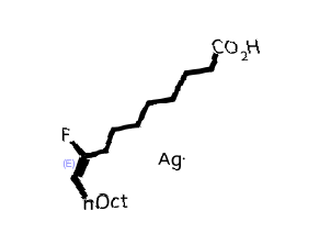 CCCCCCCC/C=C(/F)CCCCCCCC(=O)O.[Ag]